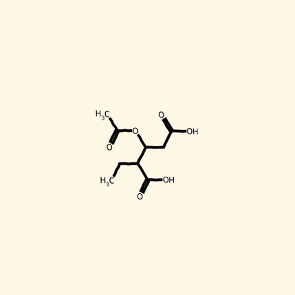 CCC(C(=O)O)C(CC(=O)O)OC(C)=O